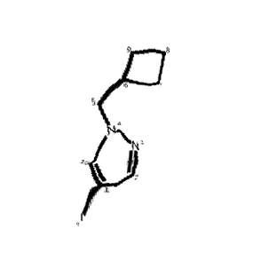 Ic1cnn(CC2CCC2)c1